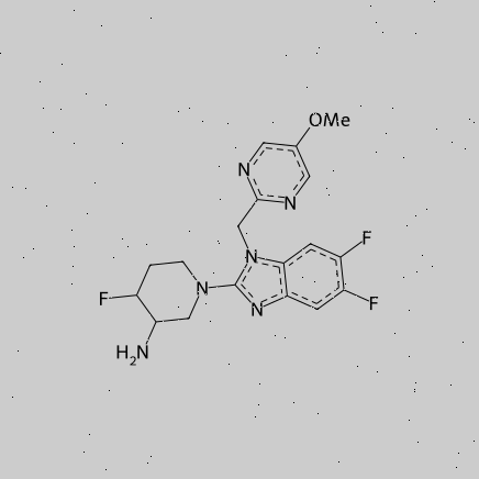 COc1cnc(Cn2c(N3CCC(F)C(N)C3)nc3cc(F)c(F)cc32)nc1